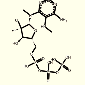 CNc1c(N)ncnc1N(C)[C@@H]1O[C@H](COP(=O)(O)OP(=O)(O)OP(=O)(O)O)[C@@H](O)[C@@]1(C)Cl